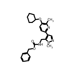 Cc1nc(-c2cnn(C)c2CNC(=O)OCc2ccccc2)ccc1OC1CCCCC1